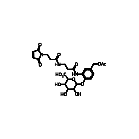 CC(=O)OCc1ccc(OC2OC(C(=O)O)C(O)C(O)C2O)c(NC(=O)CCNC(=O)CCN2C(=O)C=CC2=O)c1